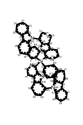 c1ccc([Si](c2ccccc2)(c2nccc3c2oc2c(-n4c5ccccc5c5ccccc54)cccc23)c2nccc3c2sc2c(-n4c5ccccc5c5ccccc54)cccc23)cc1